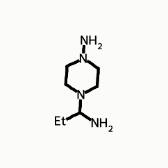 CCC(N)N1CCN(N)CC1